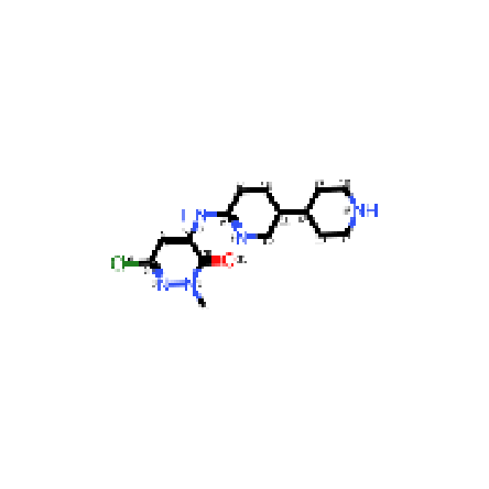 Cn1nc(Cl)cc(NC2=NCC(C3CCNCC3)CC2)c1=O